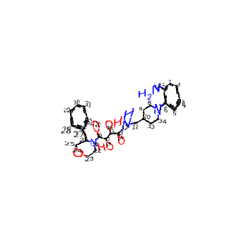 Nc1ccccc1N1CCC(CNC(=O)[C@H](O)[C@@H](O)C(=O)N2CCOCC2c2ccccc2)CC1